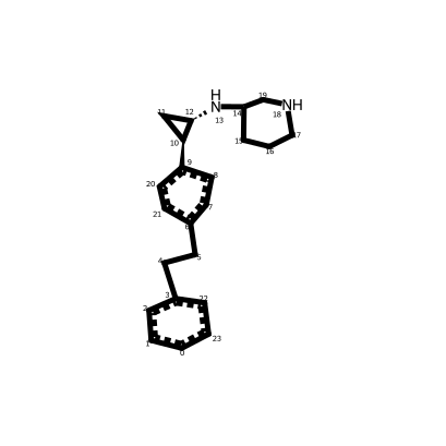 c1ccc(CCc2ccc([C@H]3C[C@@H]3NC3CCCNC3)cc2)cc1